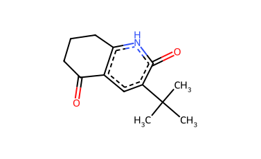 CC(C)(C)c1cc2c([nH]c1=O)CCCC2=O